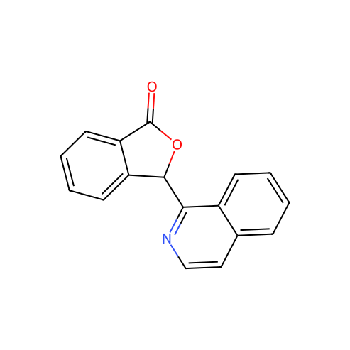 O=C1OC(c2nccc3ccccc23)c2ccccc21